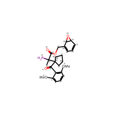 COc1cccc(OC)c1C(=O)C1(C(C)(P)C(=O)OCC2=CC=CC3OC23)CCCC1